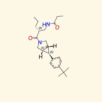 CCC[C@H](CNC(=O)CC)C(=O)N1C[C@@H]2[C@H](C1)[C@H]2c1ccc(C(C)(C)C)cc1